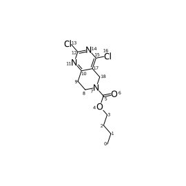 CCCCOC(=O)N1CCc2nc(Cl)nc(Cl)c2C1